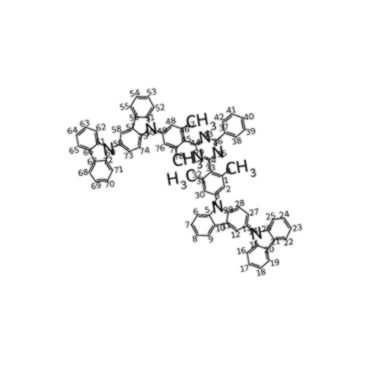 Cc1cc(-n2c3ccccc3c3cc(-n4c5ccccc5c5ccccc54)ccc32)cc(C)c1-c1nc(-c2ccccc2)nc(-c2c(C)cc(-n3c4ccccc4c4cc(-n5c6ccccc6c6ccccc65)ccc43)cc2C)n1